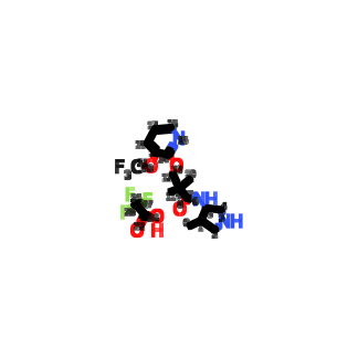 CC1CNCC1NC(=O)C(C)(C)COc1ncccc1OC(F)(F)F.O=C(O)C(F)(F)F